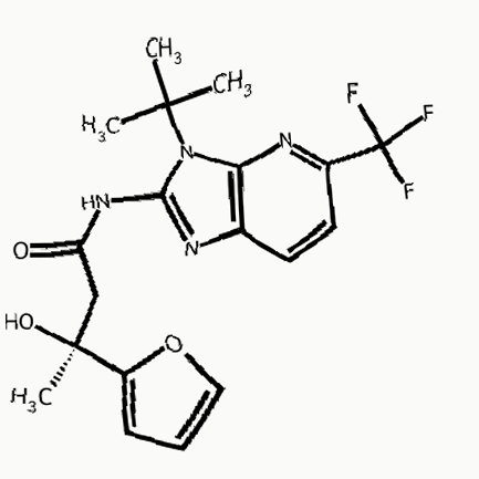 CC(C)(C)n1c(NC(=O)C[C@](C)(O)c2ccco2)nc2ccc(C(F)(F)F)nc21